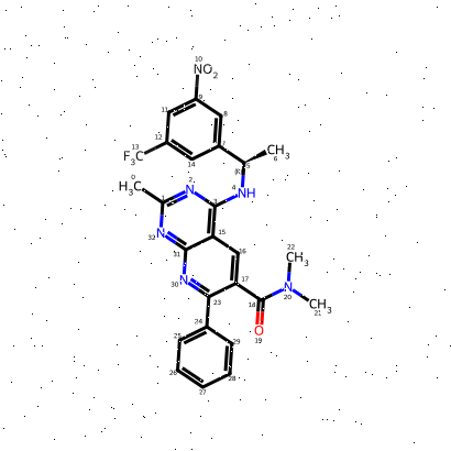 Cc1nc(N[C@H](C)c2cc([N+](=O)[O-])cc(C(F)(F)F)c2)c2cc(C(=O)N(C)C)c(-c3ccccc3)nc2n1